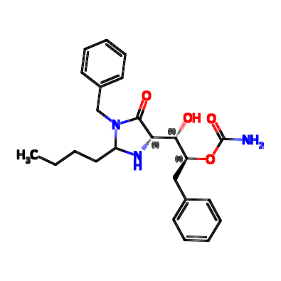 CCCCC1N[C@@H]([C@H](O)[C@H](Cc2ccccc2)OC(N)=O)C(=O)N1Cc1ccccc1